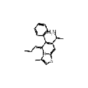 CC/C=C1/C(c2ccccc2)=C(C(C)N)C=C2SC=C(C)N21